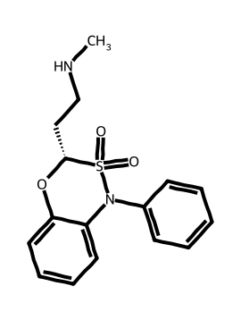 CNCC[C@H]1Oc2ccccc2N(c2ccccc2)S1(=O)=O